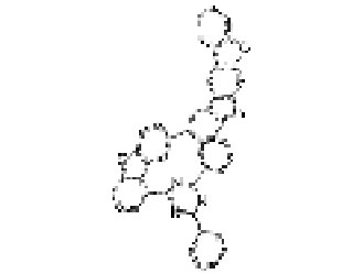 c1ccc(-c2nc(-c3ccccc3)nc(-c3cccc4oc5ccc(-c6ccc7oc8cc9oc%10ccccc%10c9cc8c7c6)cc5c34)n2)cc1